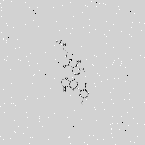 C/C=C(\C=C(/C=N)C(=O)NCCCNC)c1cc(-c2cc(Cl)ccc2F)nc2c1OCCN2